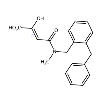 CN(Cc1ccccc1Cc1ccccc1)C(=O)/C=C(\O)C(=O)O